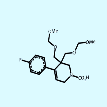 COCOCC1(COCOC)CN(C(=O)O)CC=C1c1ccc(F)cc1